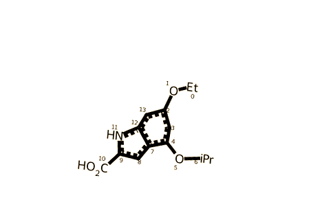 CCOc1cc(OC(C)C)c2cc(C(=O)O)[nH]c2c1